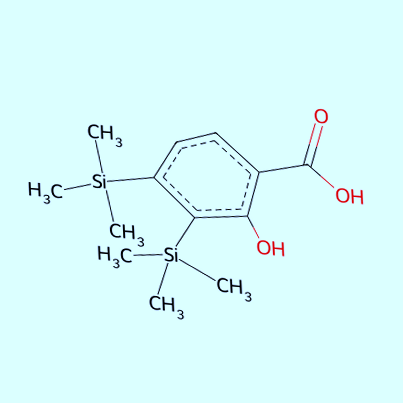 C[Si](C)(C)c1ccc(C(=O)O)c(O)c1[Si](C)(C)C